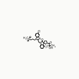 CC(C)(O)C(=O)N1CCC2(C1)C(=O)N(Cc1nc3cc(Cl)ccc3n1CCCS(C)(=O)=O)c1ccccc12